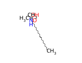 CCCCCCCCC=CCCCCCCCCC(=O)N[C@H](CO)C(C)C